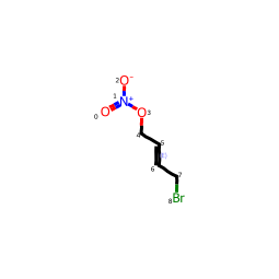 O=[N+]([O-])OC/C=C/CBr